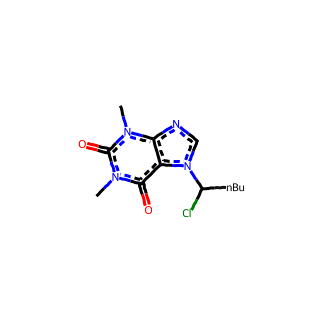 CCCCC(Cl)n1cnc2c1c(=O)n(C)c(=O)n2C